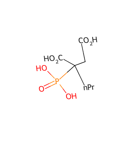 CCCC(CC(=O)O)(C(=O)O)P(=O)(O)O